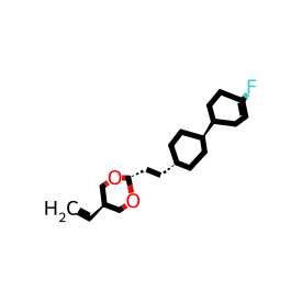 C=C[C@H]1CO[C@H](CC[C@H]2CC[C@H](C3CC=C(F)CC3)CC2)OC1